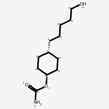 NC(=O)O[C@H]1CC[C@H](CCCCCO)CC1